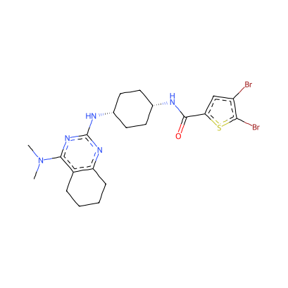 CN(C)c1nc(N[C@H]2CC[C@@H](NC(=O)c3cc(Br)c(Br)s3)CC2)nc2c1CCCC2